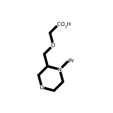 CC(C)N1CCOCC1COCC(=O)O